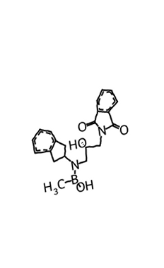 CB(O)N(C[C@H](O)CN1C(=O)c2ccccc2C1=O)C1Cc2ccccc2C1